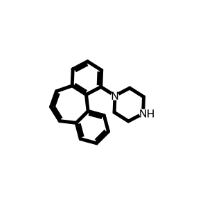 C1=Cc2ccccc2-c2c(cccc2N2CCNCC2)C=1